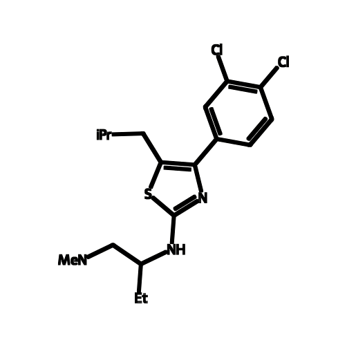 CCC(CNC)Nc1nc(-c2ccc(Cl)c(Cl)c2)c(CC(C)C)s1